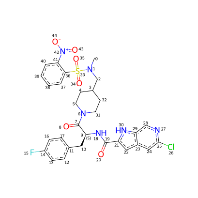 CN(CC1CCN(C(=O)[C@H](Cc2ccc(F)cc2)NC(=O)c2cc3cc(Cl)ncc3[nH]2)CC1)S(=O)(=O)c1ccccc1[N+](=O)[O-]